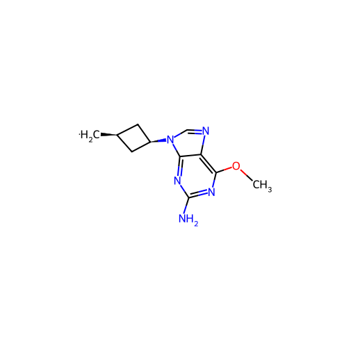 [CH2][C@H]1C[C@@H](n2cnc3c(OC)nc(N)nc32)C1